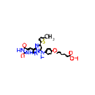 Cc1ccc(-c2cc(Nc3ccc(OCCCCCC(=O)O)cc3)n3ncc(C=C4NC(=O)NC4=O)c3n2)s1